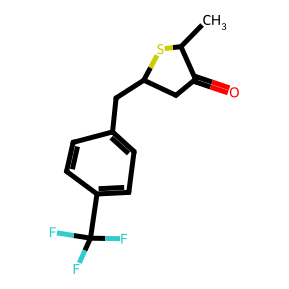 CC1SC(Cc2ccc(C(F)(F)F)cc2)CC1=O